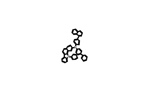 c1ccc(-c2ccc(N(c3ccc(-c4cccc5ccccc45)cc3)c3ccc4ccc5c6ccccc6n(-c6ccccc6)c5c4c3)cc2)cc1